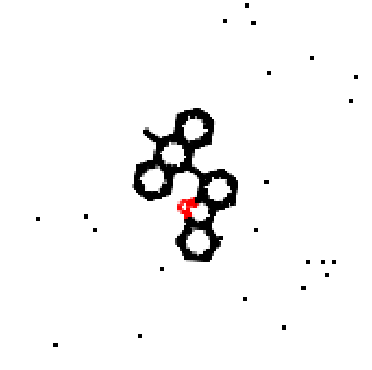 Cc1c2ccccc2c(-c2cccc3c2oc2ccccc23)c2ccccc12